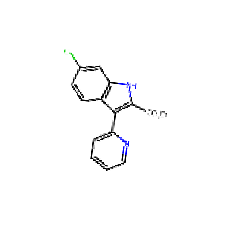 CCOC(=O)c1[nH]c2cc(Cl)ccc2c1-c1ccccn1